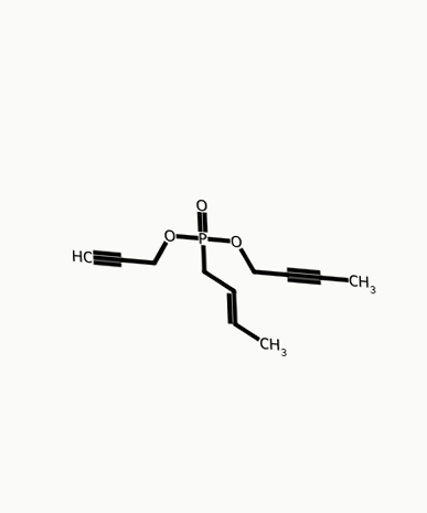 C#CCOP(=O)(CC=CC)OCC#CC